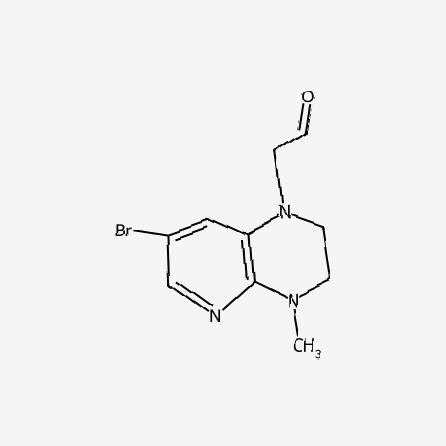 CN1CCN(CC=O)c2cc(Br)cnc21